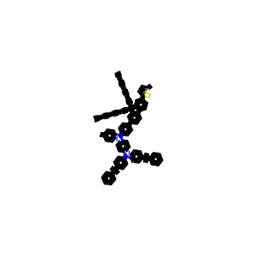 C#CC#CC#CC#CC1(C#CC#CC#CC#C)c2cc(-c3ccc(N(c4ccc(C)cc4)c4ccc(N(c5ccc(C(C)(C)c6ccccc6)cc5)c5ccc(C(C)(C)c6ccccc6)cc5)cc4)cc3)ccc2-c2ccc(-c3ccc(C)s3)cc21